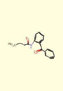 O=C(O)CCC(=O)Nc1ccccc1C(=O)c1ccccc1